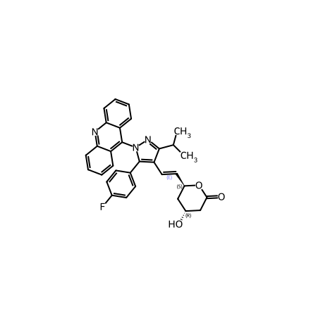 CC(C)c1nn(-c2c3ccccc3nc3ccccc23)c(-c2ccc(F)cc2)c1/C=C/[C@@H]1C[C@@H](O)CC(=O)O1